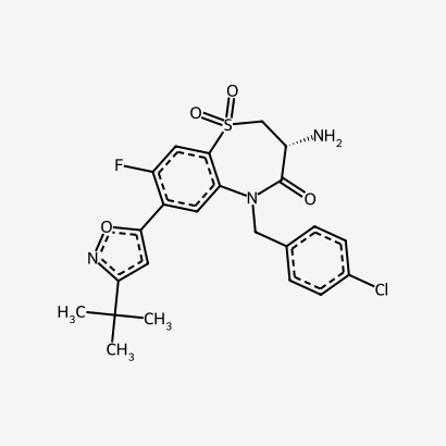 CC(C)(C)c1cc(-c2cc3c(cc2F)S(=O)(=O)C[C@H](N)C(=O)N3Cc2ccc(Cl)cc2)on1